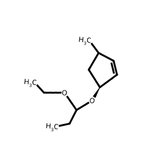 CCOC(CC)O[C@@H]1C=CC(C)C1